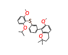 COc1cccc(OC(C)C)c1Sc1cccc(-c2c(OC)ccc3c2OC(C)(C)CC3)c1